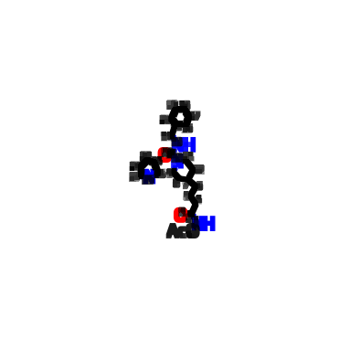 CC(=O)ONC(=O)CCCC1CCN(C(=O)NCc2ccccc2)CC1.c1ccncc1